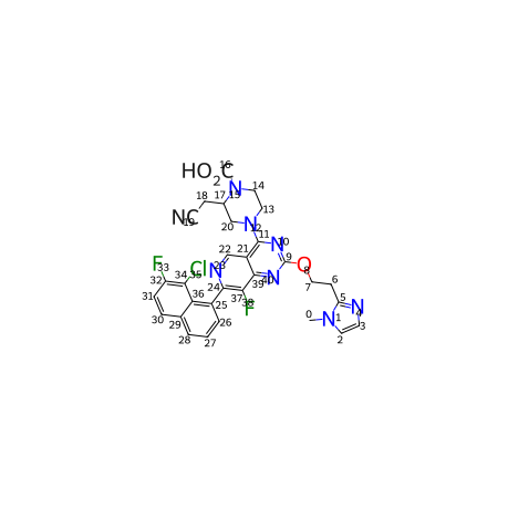 Cn1ccnc1CCOc1nc(N2CCN(C(=O)O)C(CC#N)C2)c2cnc(-c3cccc4ccc(F)c(Cl)c34)c(F)c2n1